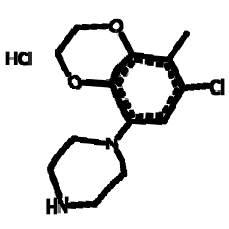 Cc1c(Cl)cc(N2CCNCC2)c2c1OCCO2.Cl